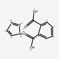 O=C(O)c1ccccc1C(=O)O.c1c[nH]nn1